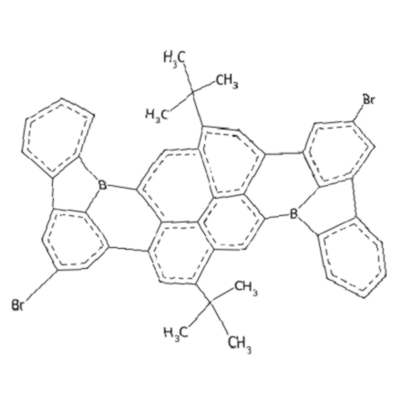 CC(C)(C)c1cc2c3c(cc4c(C(C)(C)C)cc5c6c(cc1c3c46)B1c3ccccc3-c3cc(Br)cc-5c31)B1c3ccccc3-c3cc(Br)cc-2c31